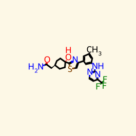 Cc1cc(Nc2nccc(C(F)(F)F)n2)cc(-c2csc([C@]3(O)CC[C@@H](CC(N)=O)CC3)n2)c1